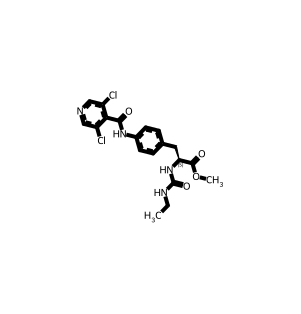 CCNC(=O)N[C@@H](Cc1ccc(NC(=O)c2c(Cl)cncc2Cl)cc1)C(=O)OC